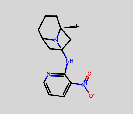 CN1C2CCC[C@@H]1CC(Nc1ncccc1[N+](=O)[O-])C2